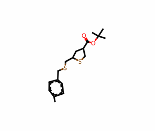 Cc1ccc(CSCC2CC(C(=O)OC(C)(C)C)CS2)cc1